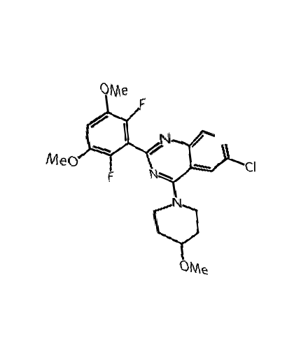 C=C(Cl)/C=c1/c(N2CCC(OC)CC2)nc(-c2c(F)c(OC)cc(OC)c2F)n/c1=C/C